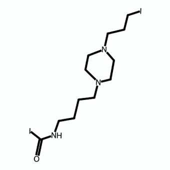 O=C(I)NCCCCN1CCN(CCCI)CC1